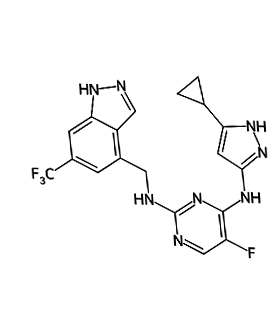 Fc1cnc(NCc2cc(C(F)(F)F)cc3[nH]ncc23)nc1Nc1cc(C2CC2)[nH]n1